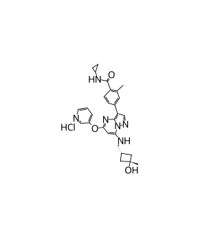 Cc1cc(-c2cnn3c(NC[C@H]4C[C@@](C)(O)C4)cc(Oc4cccnc4)nc23)ccc1C(=O)NC1CC1.Cl